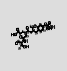 CC(=O)N(CC(=O)N(CCC(=O)O)CC(=O)N[C@H]([C]=O)[C@@H](C)O)Cc1ccc(OP(=O)(O)O)cc1